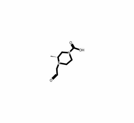 C[C@@H]1CN(C(=O)O)CCN1CC=O